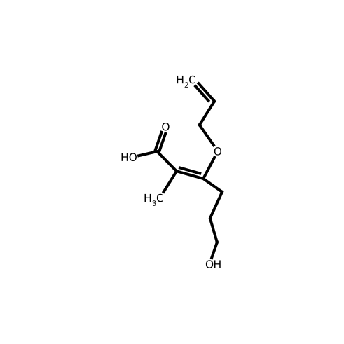 C=CCOC(CCCO)=C(C)C(=O)O